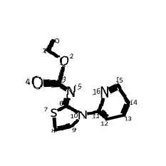 CCOC(=O)/N=c1\sccn1-c1ccccn1